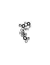 COc1ccc(Cc2c(F)cccc2F)c(NC(=O)CNS(=O)(=O)c2ccc(OC)c(OC)c2)c1